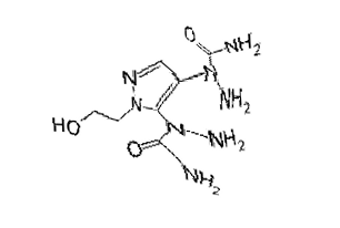 NC(=O)N(N)c1cnn(CCO)c1N(N)C(N)=O